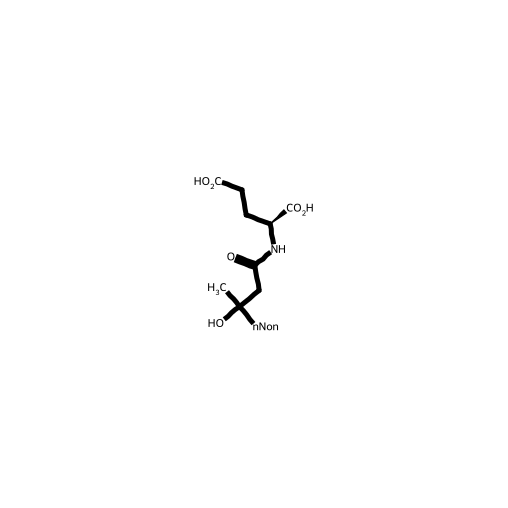 CCCCCCCCCC(C)(O)CC(=O)N[C@@H](CCC(=O)O)C(=O)O